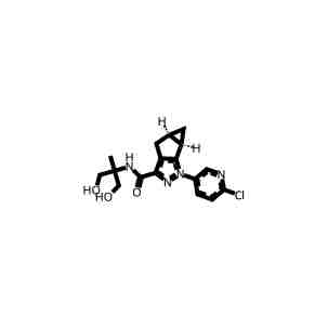 CC(CO)(CO)NC(=O)c1nn(-c2ccc(Cl)nc2)c2c1C[C@H]1C[C@@H]21